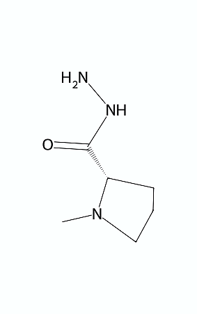 CN1CCC[C@H]1C(=O)NN